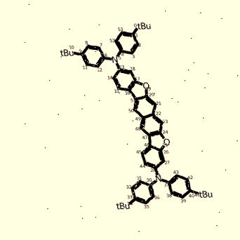 CC(C)(C)c1ccc(N(c2ccc(C(C)(C)C)cc2)c2ccc3c(c2)oc2cc4cc5oc6cc(N(c7ccc(C(C)(C)C)cc7)c7ccc(C(C)(C)C)cc7)ccc6c5cc4cc23)cc1